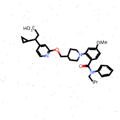 COc1ccc(C(=O)N(CC(C)C)c2ccccc2)c(N2CCC(COc3cc(C(CC(=O)O)C4CC4)ccn3)CC2)c1